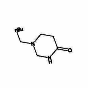 CCCCCN1CCC(=O)NC1